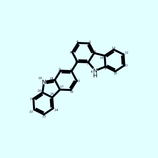 [C]1=C(c2cccc3c2[nH]c2ccccc23)C=CC2C1=Nc1ccccc12